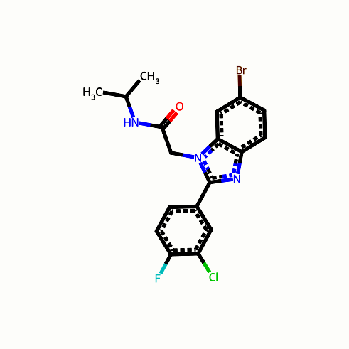 CC(C)NC(=O)Cn1c(-c2ccc(F)c(Cl)c2)nc2ccc(Br)cc21